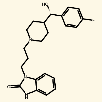 O=c1[nH]c2ccccc2n1CCCN1CCC([C@H](O)c2ccc(F)cc2)CC1